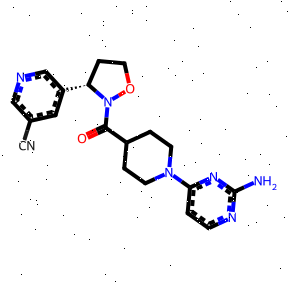 N#Cc1cncc([C@@H]2CCON2C(=O)C2CCN(c3ccnc(N)n3)CC2)c1